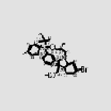 C[C@H](CO[Si](c1ccccc1)(c1ccccc1)C(C)(C)C)CN1C[C@](C)(CO)c2ccc(Br)cc21